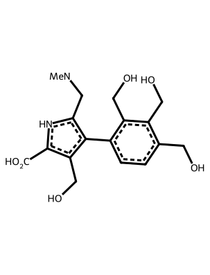 CNCc1[nH]c(C(=O)O)c(CO)c1-c1ccc(CO)c(CO)c1CO